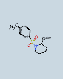 COC1CCCCN1S(=O)(=O)c1ccc(C)cc1